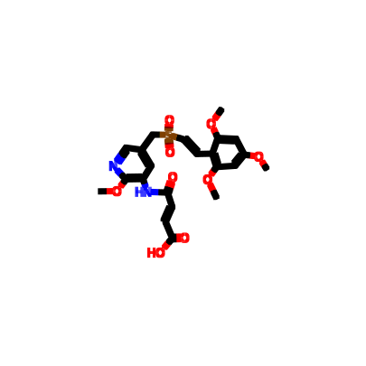 COc1cc(OC)c(/C=C/S(=O)(=O)Cc2cnc(OC)c(NC(=O)/C=C/C(=O)O)c2)c(OC)c1